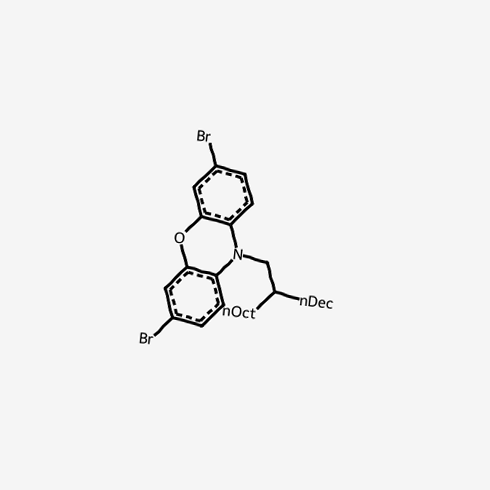 CCCCCCCCCCC(CCCCCCCC)CN1c2ccc(Br)cc2Oc2cc(Br)ccc21